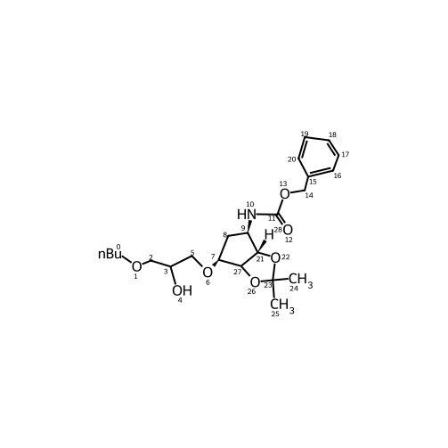 CCCCOCC(O)CO[C@H]1C[C@@H](NC(=O)OCc2ccccc2)[C@@H]2OC(C)(C)OC12